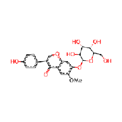 COc1cc2c(=O)c(-c3ccc(O)cc3)coc2cc1O[C@@H]1O[C@H](CO)[C@@H](O)[C@@H](O)[C@@H]1O